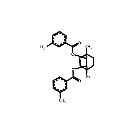 Cc1cccc(C(=O)OC2C(OC(=O)c3cccc(C)c3)C3(C(C)C)CCC2(C)CC3)c1